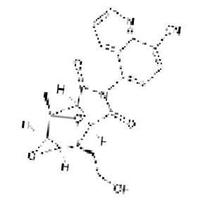 C[C@]12O[C@](CCO)([C@@H]3C(=O)N(c4ccc(C#N)c5ncccc45)C(=O)[C@@H]31)[C@H]1O[C@H]12